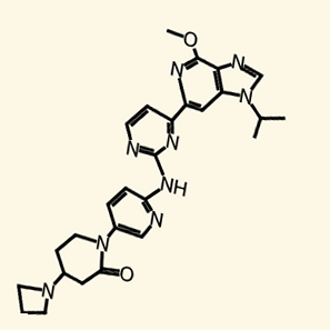 COc1nc(-c2ccnc(Nc3ccc(N4CCC(N5CCC5)CC4=O)cn3)n2)cc2c1ncn2C(C)C